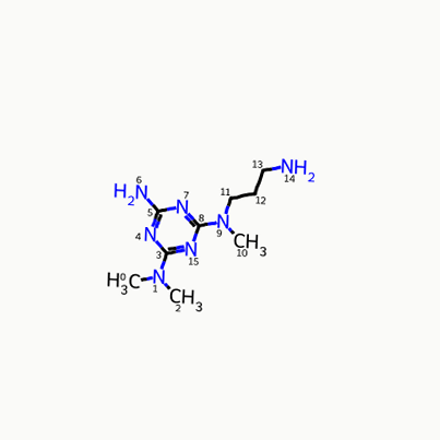 CN(C)c1nc(N)nc(N(C)CCCN)n1